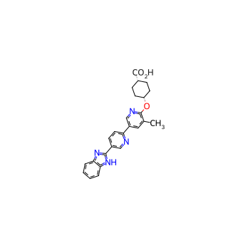 Cc1cc(-c2ccc(-c3nc4ccccc4[nH]3)cn2)cnc1O[C@H]1CC[C@@H](C(=O)O)CC1